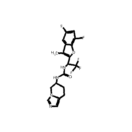 Cc1c(C(NC(=O)NC2CCc3cncn3C2)C(F)(F)F)oc2c(F)cc(F)cc12